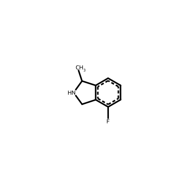 CC1NCc2c(F)cccc21